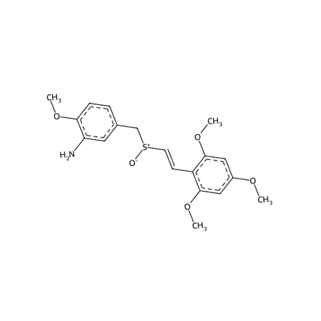 COc1cc(OC)c(C=C[S+]([O-])Cc2ccc(OC)c(N)c2)c(OC)c1